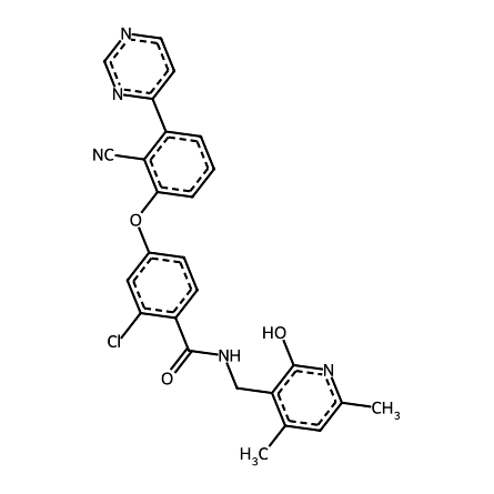 Cc1cc(C)c(CNC(=O)c2ccc(Oc3cccc(-c4ccncn4)c3C#N)cc2Cl)c(O)n1